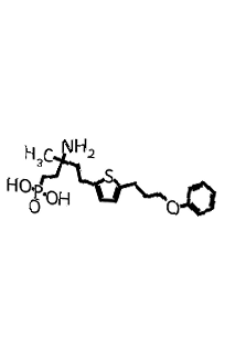 CC(N)(CCc1ccc(CCCOc2ccccc2)s1)CCP(=O)(O)O